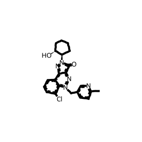 Cc1ccc(Cn2nc3c(=O)n([C@@H]4CCCC[C@H]4O)nc-3c3cccc(Cl)c32)cn1